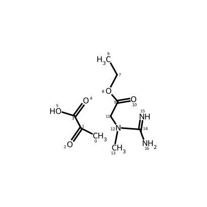 CC(=O)C(=O)O.CCOC(=O)CN(C)C(=N)N